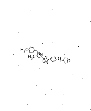 Cc1ccc(Cn2nc(-c3nc(-c4ccc(OCC5CCOCC5)cc4)no3)cc2C)cc1